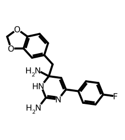 NC1=NC(c2ccc(F)cc2)=CC(N)(Cc2ccc3c(c2)OCO3)N1